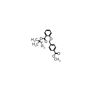 COC(=O)c1ccc(COc2ccccc2C(=O)OC(C)(C)C)cc1